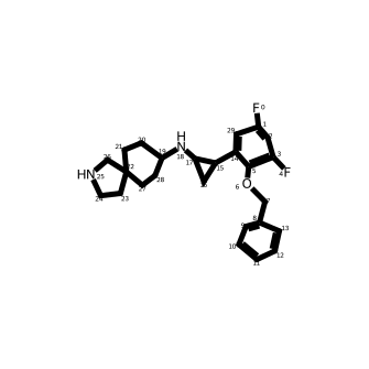 Fc1cc(F)c(OCc2ccccc2)c(C2CC2NC2CCC3(CCNC3)CC2)c1